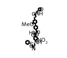 COc1cc(CCC(=O)NCC2CCOC2)ccc1-c1ccc(C(=O)NS(=O)(=O)c2ccc(N[C@@H](CSc3ccccc3)CC(=O)N(C)C)c([N+](=O)[O-])c2)cc1